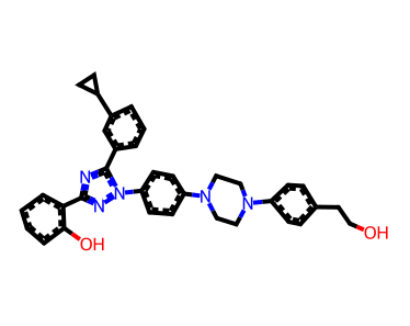 OCCc1ccc(N2CCN(c3ccc(-n4nc(-c5ccccc5O)nc4-c4cccc(C5CC5)c4)cc3)CC2)cc1